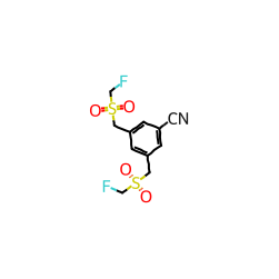 N#Cc1cc(CS(=O)(=O)CF)cc(CS(=O)(=O)CF)c1